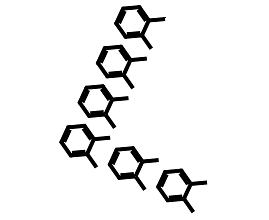 Cc1ccccc1C.Cc1ccccc1C.Cc1ccccc1C.Cc1ccccc1C.Cc1ccccc1C.Cc1ccccc1C